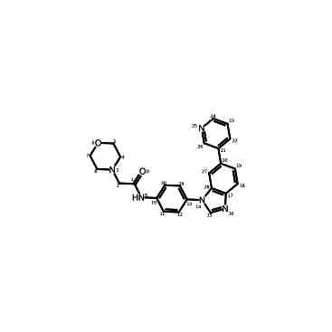 O=C(CN1CCOCC1)Nc1ccc(-n2cnc3ccc(-c4cccnc4)cc32)cc1